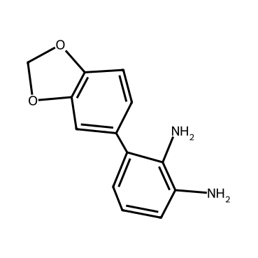 Nc1cccc(-c2ccc3c(c2)OCO3)c1N